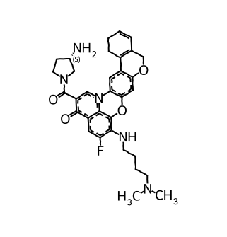 CN(C)CCCCNc1c(F)cc2c(=O)c(C(=O)N3CC[C@H](N)C3)cn3c2c1Oc1cc2c(cc1-3)C1=C(C=CCC1)CO2